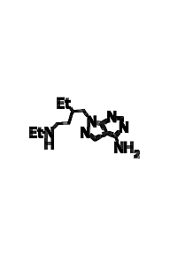 CCNCCC(CC)Cn1ncc2c(N)ncnc21